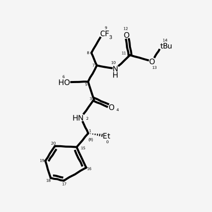 CC[C@@H](NC(=O)C(O)C(CC(F)(F)F)NC(=O)OC(C)(C)C)c1ccccc1